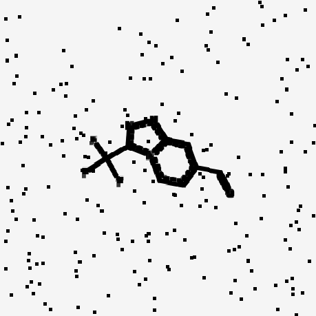 O=Cc1ccn2c(C(F)(F)F)nnc2c1